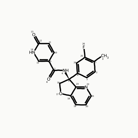 Cc1ccc([C@@]2(NC(=O)c3ccc(=O)[nH]c3)COc3cccnc32)cc1F